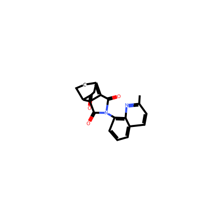 Cc1ccc2cccc(N3C(=O)C4=C5CCC(C(=O)C5)C4C3=O)c2n1